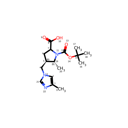 Cc1cn(C[C@H]2CC(C(=O)O)N(C(=O)OC(C)(C)C)[C@@H]2C)cn1